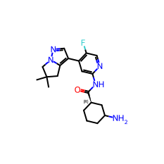 CC1(C)Cc2c(-c3cc(NC(=O)[C@@H]4CCCC(N)C4)ncc3F)cnn2C1